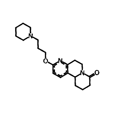 O=C1CCCC2c3ccc(OCCCN4CCCCC4)nc3CCN12